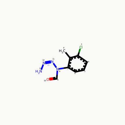 Cc1c(Cl)cccc1N(C=O)/N=N\N